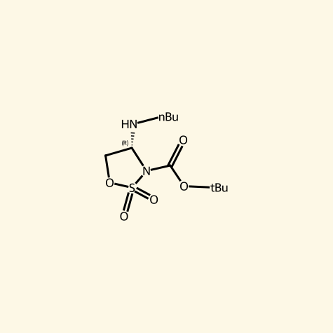 CCCCN[C@H]1COS(=O)(=O)N1C(=O)OC(C)(C)C